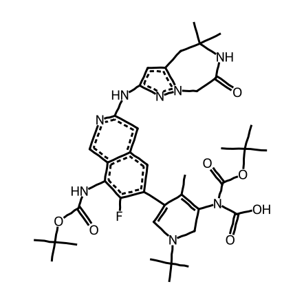 CC1=C(N(C(=O)O)C(=O)OC(C)(C)C)CN(C(C)(C)C)C=C1c1cc2cc(Nc3cc4n(n3)CC(=O)NC(C)(C)C4)ncc2c(NC(=O)OC(C)(C)C)c1F